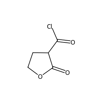 O=C(Cl)C1CCOC1=O